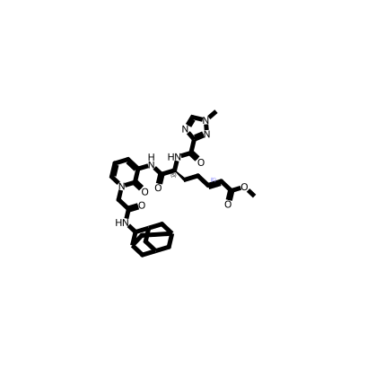 COC(=O)/C=C/CC[C@H](NC(=O)c1ncn(C)n1)C(=O)Nc1cccn(CC(=O)NC2C3CC4CC(C3)CC2C4)c1=O